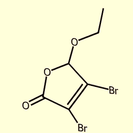 CCOC1OC(=O)C(Br)=C1Br